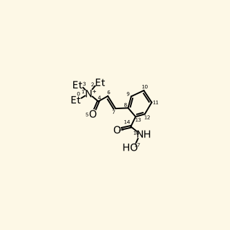 CC[N+](CC)(CC)C(=O)C=Cc1ccccc1C(=O)NO